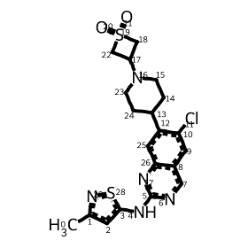 Cc1cc(Nc2ncc3cc(Cl)c(C4CCN(C5CS(=O)(=O)C5)CC4)cc3n2)sn1